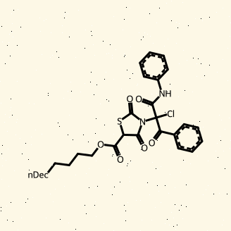 CCCCCCCCCCCCCCOC(=O)C1SC(=O)N(C(Cl)(C(=O)Nc2ccccc2)C(=O)c2ccccc2)C1=O